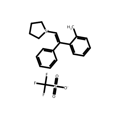 Cc1ccccc1C(=C[S+]1CCCC1)c1ccccc1.O=S(=O)([O-])C(F)(F)F